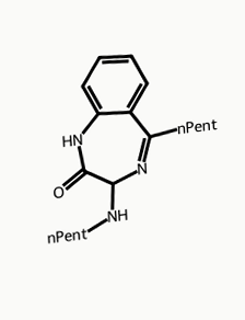 CCCCCNC1N=C(CCCCC)c2ccccc2NC1=O